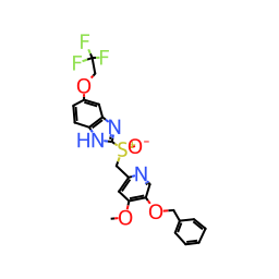 COc1cc(C[S+]([O-])c2nc3cc(OCC(F)(F)F)ccc3[nH]2)ncc1OCc1ccccc1